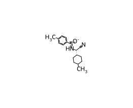 Cc1ccc([S@+]([O-])NC(C#N)[C@H]2CC[C@H](C)CC2)cc1